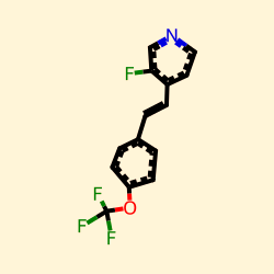 Fc1cnccc1/C=C/c1ccc(OC(F)(F)F)cc1